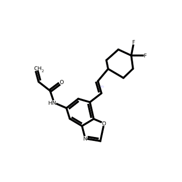 C=CC(=O)Nc1cc(/C=C/C2CCC(F)(F)CC2)c2ocnc2c1